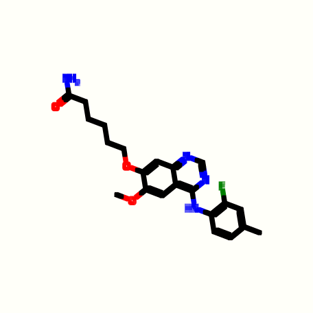 COc1cc2c(Nc3ccc(C)cc3F)ncnc2cc1OCCCCCC(N)=O